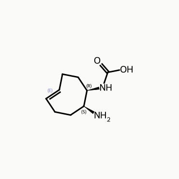 N[C@H]1CC/C=C/CC[C@H]1NC(=O)O